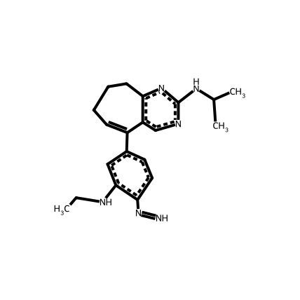 CCNc1cc(C2=CCCCc3nc(NC(C)C)ncc32)ccc1N=N